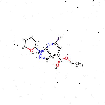 CCOC(=O)c1cc(I)nc2c1cnn2C1CCCCO1